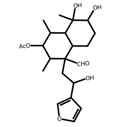 CC(=O)OC1C(C)C2C(CCC(O)C2(C)O)C(C=O)(CC(O)c2ccoc2)C1C